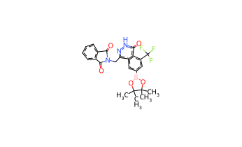 CC1(C)OB(c2cc(C(F)(F)F)c3c(=O)[nH]nc(CN4C(=O)c5ccccc5C4=O)c3c2)OC1(C)C